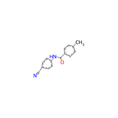 Cc1c[c]c(C(=O)Nc2ccc(C#N)cc2)cc1